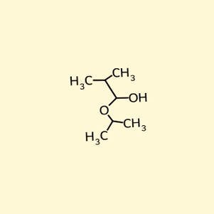 CC(C)OC(O)C(C)C